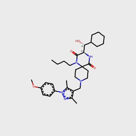 CCCCN1C(=O)[C@@H]([C@H](O)C2CCCCC2)NC(=O)C12CCN(Cc1c(C)nn(-c3ccc(OC)cc3)c1C)CC2